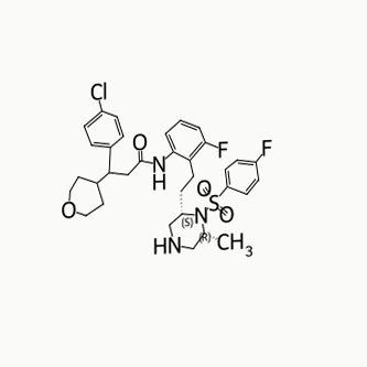 C[C@@H]1CNC[C@H](CCc2c(F)cccc2NC(=O)CC(c2ccc(Cl)cc2)C2CCOCC2)N1S(=O)(=O)c1ccc(F)cc1